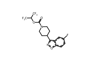 O=C(OC(C(F)(F)F)C(F)(F)F)N1CCC(c2noc3ccc(F)cc23)CC1